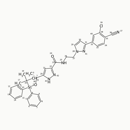 C[C@@H](O[Si](c1ccccc1)(c1ccccc1)C(C)(C)C)c1cc(C(=O)NCCn2ccc(-c3ccc(C#N)c(Cl)c3)n2)n[nH]1